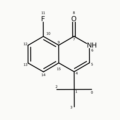 CC(C)(C)c1c[nH]c(=O)c2c(F)cccc12